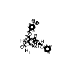 CC(=O)O.O=C(COc1ccccc1)NC1C(=O)N2C(C(=O)OCc3ccc([N+](=O)[O-])cc3)=C(O)C[S+]([O-])[C@@H]12